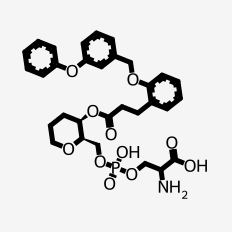 NC(COP(=O)(O)OC[C@H]1OCCC[C@H]1OC(=O)CCc1ccccc1OCc1cccc(Oc2ccccc2)c1)C(=O)O